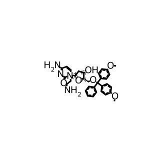 COc1ccc(C(OC[C@H]2O[C@@H]([N+]3(CCN)C=CC(N)=NC3=O)C[C@@H]2O)(c2ccccc2)c2ccc(OC)cc2)cc1